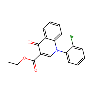 CCOC(=O)c1cn(-c2ccccc2Br)c2ccccc2c1=O